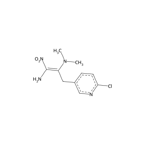 CN(C)C(Cc1ccc(Cl)nc1)=C(N)[N+](=O)[O-]